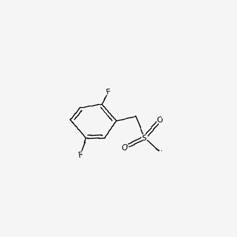 [CH2]S(=O)(=O)Cc1cc(F)ccc1F